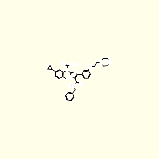 Cc1ccc(C2CC2)cc1N(C(N)=O)c1nc(-c2cccc(OCCN3CCOCC3)c2)c(C(=O)NCc2ccccc2)s1